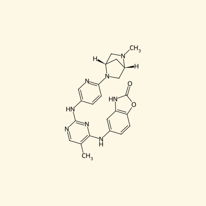 Cc1cnc(Nc2ccc(N3C[C@@H]4C[C@H]3CN4C)nc2)nc1Nc1ccc2oc(=O)[nH]c2c1